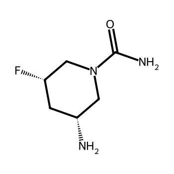 NC(=O)N1C[C@H](N)C[C@H](F)C1